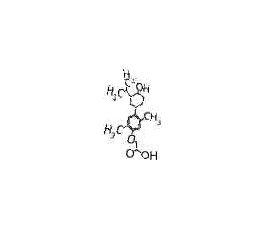 Cc1cc(C2CCC(O)C(C(C)C)C2)c(C)cc1OCC(=O)O